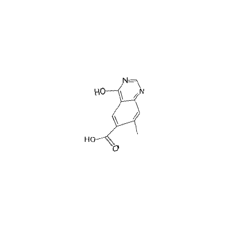 Cc1cc2ncnc(O)c2cc1C(=O)O